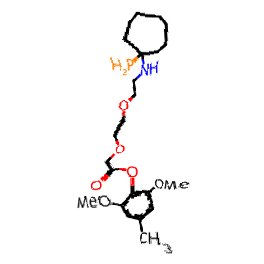 COc1cc(C)cc(OC)c1OC(=O)COCCOCCNC1(P)CCCCCCC1